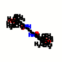 CC(C)(C)c1cc(CCCC(=O)NCCCCCCNC(=O)CCCc2cc(C(C)(C)C)c(O)c(C(C)(C)C)c2)cc(C(C)(C)C)c1O